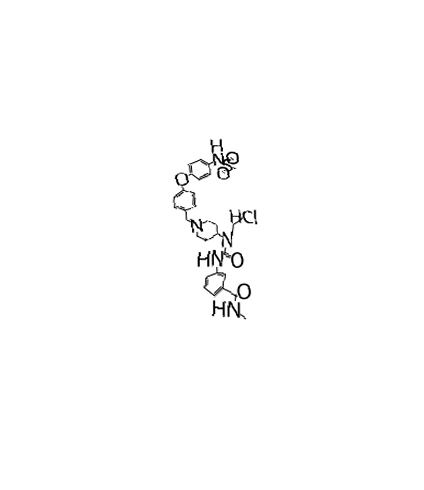 CCCCN(C(=O)Nc1cccc(C(=O)NC)c1)C1CCN(Cc2ccc(Oc3ccc(NS(C)(=O)=O)cc3)cc2)CC1.Cl